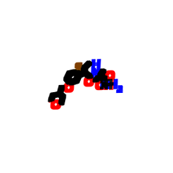 Cc1sc2ccc(OCC3CCOCC3)cc2c1C(=O)NC(C)(CO)C(N)=O